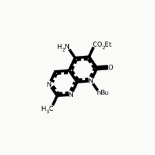 CCCCn1c(=O)c(C(=O)OCC)c(N)c2cnc(C)nc21